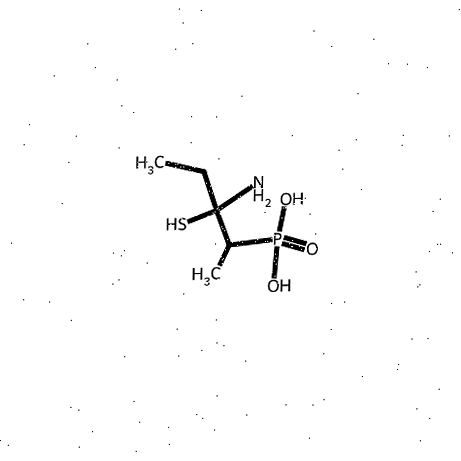 CCC(N)(S)C(C)P(=O)(O)O